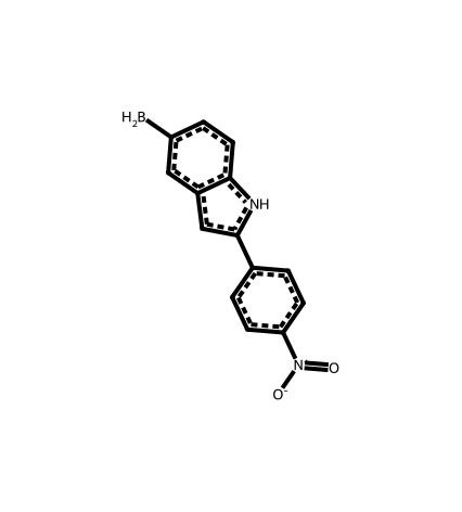 Bc1ccc2[nH]c(-c3ccc([N+](=O)[O-])cc3)cc2c1